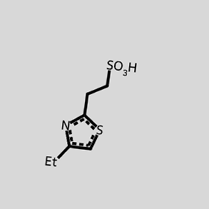 CCc1csc(CCS(=O)(=O)O)n1